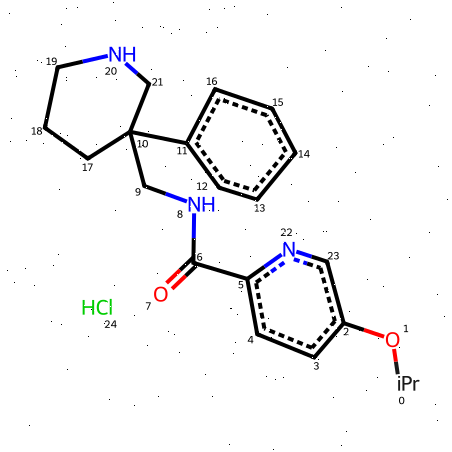 CC(C)Oc1ccc(C(=O)NCC2(c3ccccc3)CCCNC2)nc1.Cl